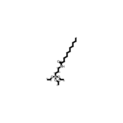 CCCCCC[CH]CCCC(=O)NCCC[Si](OCC)(OCC)OCC